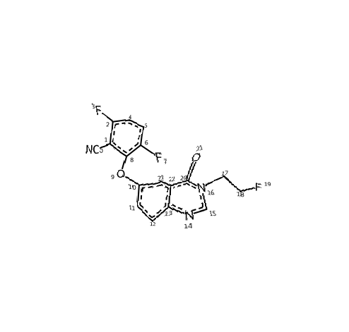 N#Cc1c(F)ccc(F)c1Oc1ccc2ncn(CCF)c(=O)c2c1